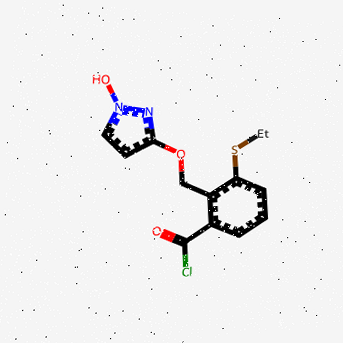 CCSc1cccc(C(=O)Cl)c1COc1ccn(O)n1